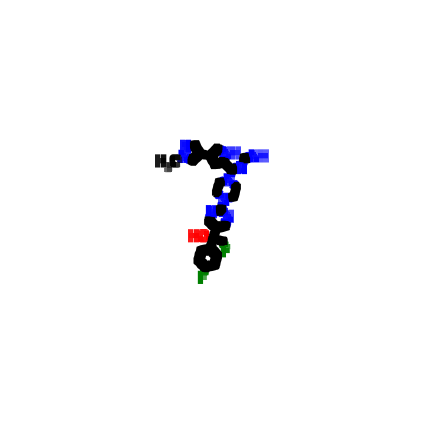 Cn1cc(-c2c[nH]c(/C(=N\C=N)N3CCN(c4ncc([C@](O)(CF)c5ccc(F)cc5)cn4)CC3)c2)cn1